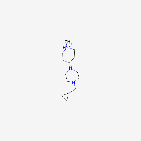 [CH2-][NH+]1CCC(N2CCN(CC3CC3)CC2)CC1